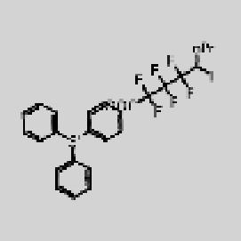 CCCC(F)C(F)(F)C(F)(F)C(F)(F)C(=O)[O-].c1ccc([S+](c2ccccc2)c2ccccc2)cc1